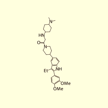 CCc1c(-c2ccc(OC)c(OC)c2)[nH]c2ccc(C3CCN(C(=O)CNC4CCC(N(C)C)CC4)CC3)cc12